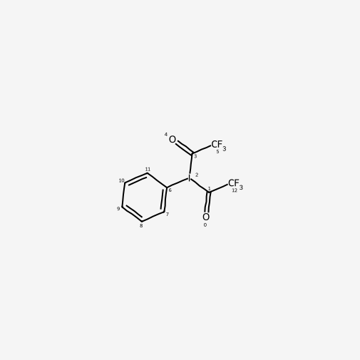 O=C(I(C(=O)C(F)(F)F)c1ccccc1)C(F)(F)F